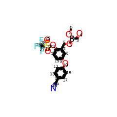 COB(C=O)OCc1cc(Oc2ccc(C#N)cc2)ccc1OS(=O)(=O)C(F)(F)F